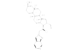 CC[C@@H]1C[C@H]2[C@@H]3CC[C@H]4C[C@](C)(O)CC[C@]4(C)[C@H]3CC[C@]2(C)C1C(=O)Cn1cc2ccncc2n1